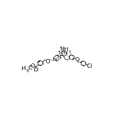 COC(=O)c1ccc(COCCN2CCN(c3nc(N)nc4c3CCc3cc(OCc5ccc(Cl)cc5)ccc3-4)CC2)cc1